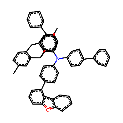 Cc1ccc2c(c1)C1c3ccc(C)cc3C2c2c(N(c3ccc(-c4ccccc4)cc3)c3ccc(-c4cccc5oc6ccccc6c45)cc3)ccc(-c3ccccc3)c21